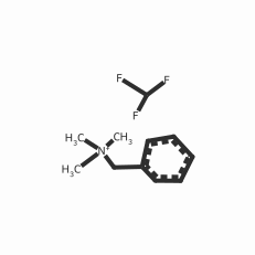 C[N+](C)(C)Cc1ccccc1.FC(F)F